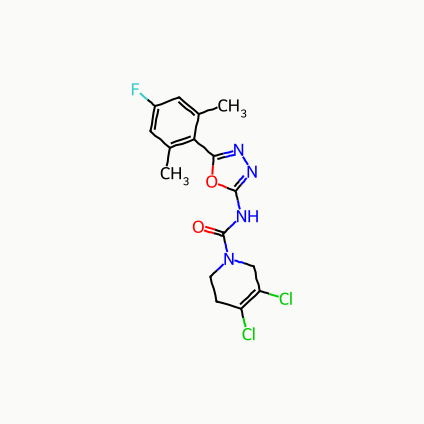 Cc1cc(F)cc(C)c1-c1nnc(NC(=O)N2CCC(Cl)=C(Cl)C2)o1